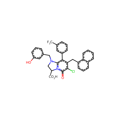 O=C(O)C1CN(Cc2cccc(O)c2)c2c(-c3cccc(C(F)(F)F)c3)c(Cc3cccc4ccccc34)c(Cl)c(=O)n21